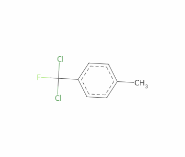 Cc1ccc(C(F)(Cl)Cl)cc1